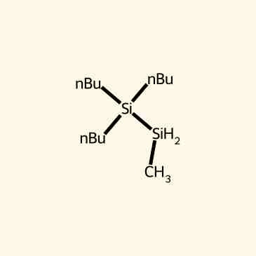 CCCC[Si](CCCC)(CCCC)[SiH2]C